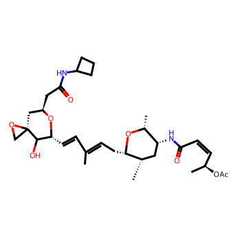 CC(=O)O[C@@H](C)/C=C\C(=O)N[C@@H]1C[C@H](C)[C@H](C/C=C(C)/C=C/[C@H]2O[C@H](CC(=O)NC3CCC3)C[C@@]3(CO3)C2O)O[C@@H]1C